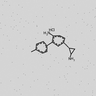 Cc1ccc(-c2cc(C3CC3N)ccc2N)cc1.Cl